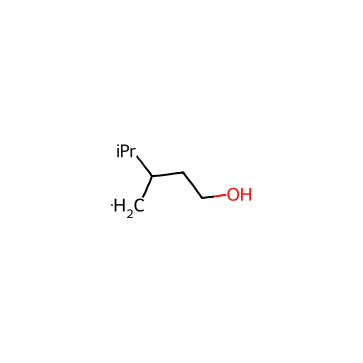 [CH2]C(CCO)C(C)C